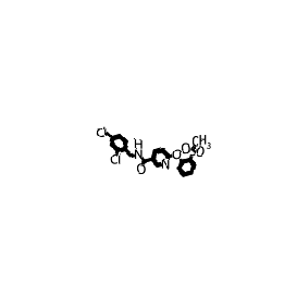 CS(=O)(=O)c1ccccc1Oc1ccc(C(=O)NCc2ccc(Cl)cc2Cl)cn1